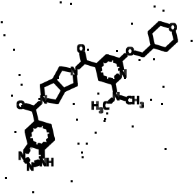 CN(C)c1cc(C(=O)N2CC3CN(C(=O)c4ccc5[nH]nnc5c4)CC3C2)cc(OCC2CCOCC2)n1